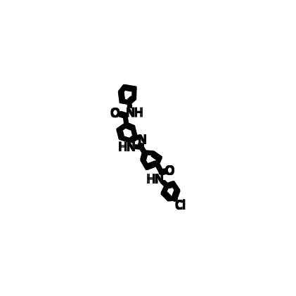 O=C(Nc1ccc(Cl)cc1)c1ccc(-c2nc3cc(C(=O)Nc4ccccc4)ccc3[nH]2)cc1